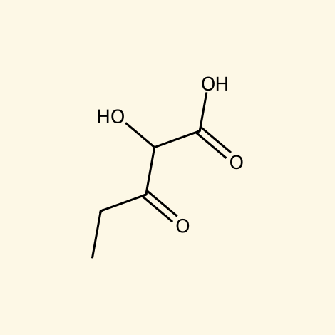 CCC(=O)C(O)C(=O)O